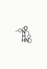 CC1CC2(COC(CC3CC4(CCCN4)C3)N2)C1